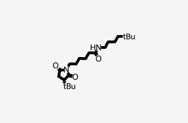 CC(C)(C)CCCCNC(=O)CCCCCN1C(=O)CC(C(C)(C)C)C1=O